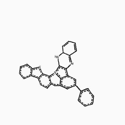 C1=CC2=Nc3c(n4c5c3cc(-c3ccccc3)cc5c3ccc5c6ccccc6sc5c34)NC2C=C1